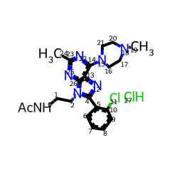 CC(=O)NCCn1c(-c2ccccc2Cl)nc2c(N3CCN(C)CC3)nc(C)nc21.Cl